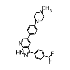 CN1CCN(c2ccc(-c3cnc4[nH]nc(-c5ccc(C(F)F)cc5)c4c3)cc2)CC1